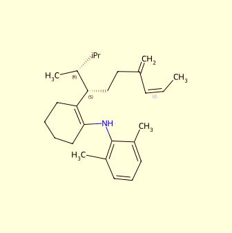 C=C(/C=C\C)CC[C@H](C1=C(Nc2c(C)cccc2C)CCCC1)[C@H](C)C(C)C